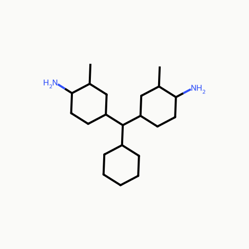 CC1CC(C(C2CCCCC2)C2CCC(N)C(C)C2)CCC1N